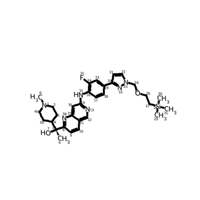 CN1CCC([C@@](C)(O)c2ccc3cnc(Nc4ccc(-c5ccn(COCC[Si](C)(C)C)n5)cc4F)cc3n2)CC1